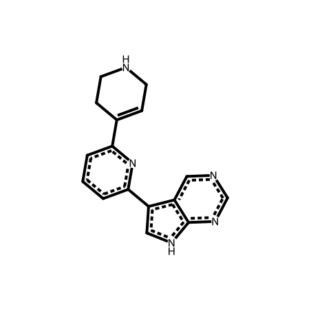 C1=C(c2cccc(-c3c[nH]c4ncncc34)n2)CCNC1